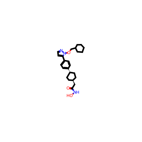 O=C(C[C@H]1CC[C@H](c2ccc(-c3ccnn3OCC3CCCCC3)cc2)CC1)NO